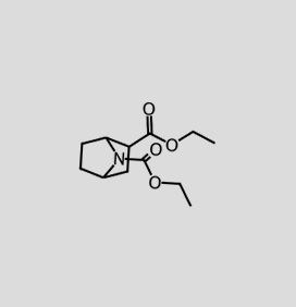 CCOC(=O)C1CC2CCC1N2C(=O)OCC